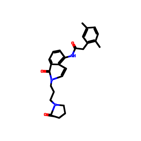 Cc1ccc(C)c(CC(=O)Nc2cccc3c(=O)n(CCCN4CCCC4=O)ccc23)c1